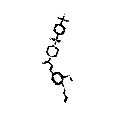 C=CCOc1ccc(/C=C/C(=O)N2CCN(S(=O)(=O)c3ccc(C(F)(F)F)cc3)CC2)cc1OC